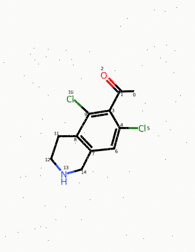 CC(=O)c1c(Cl)cc2c(c1Cl)CCNC2